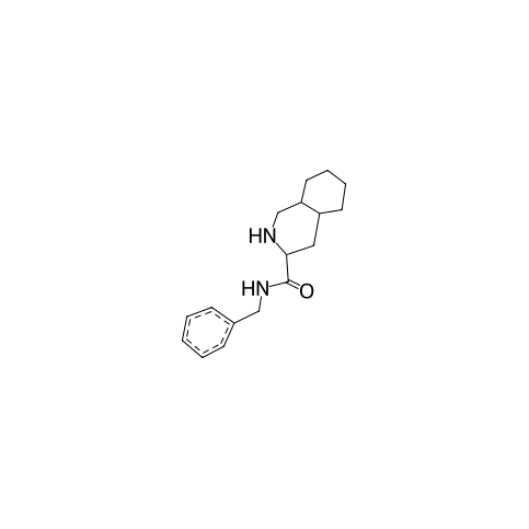 O=C(NCc1ccccc1)C1CC2CCCCC2CN1